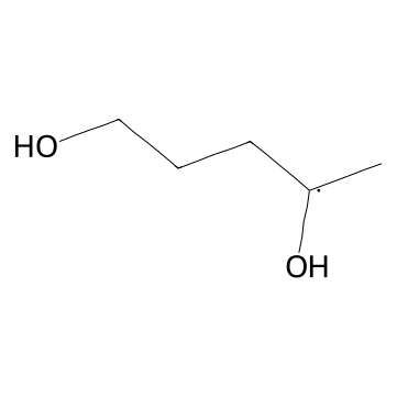 C[C](O)CCCO